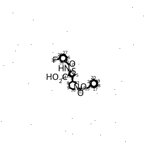 O=C(Nc1scc(C2CCCN(C(=O)OCc3ccccc3)C2)c1C(=O)O)c1cccc(F)c1